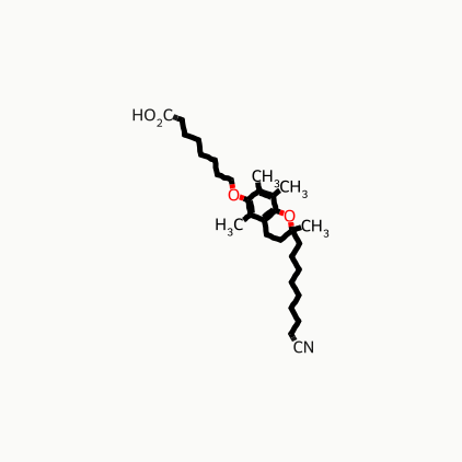 Cc1c(C)c2c(c(C)c1OCCCCCCCC(=O)O)CCC(C)(CCCCCCCCC#N)O2